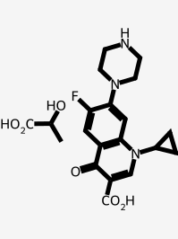 CC(O)C(=O)O.O=C(O)c1cn(C2CC2)c2cc(N3CCNCC3)c(F)cc2c1=O